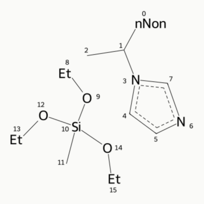 CCCCCCCCCC(C)n1ccnc1.CCO[Si](C)(OCC)OCC